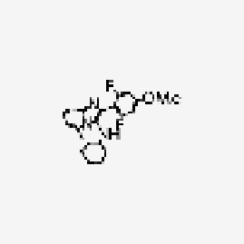 COc1cc(F)c(-c2nc3cccc(C)n3c2NC2CCCCC2)c(F)c1